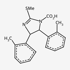 CSC1=NC(c2ccccc2C)C(c2ccccc2C)N1C(=O)O